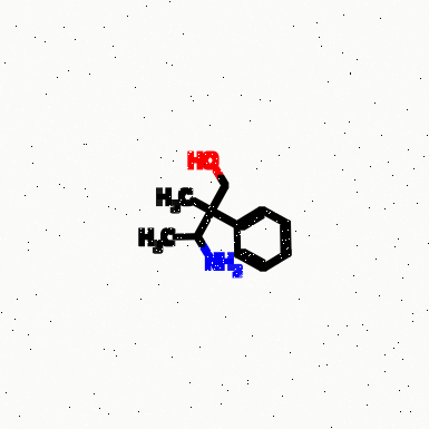 CC(N)C(C)(CO)c1ccccc1